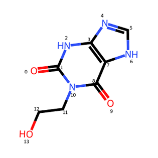 O=c1[nH]c2nc[nH]c2c(=O)n1CCO